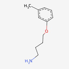 Cc1cccc(OCCCCN)c1